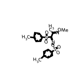 CON=C(C)C(=NOS(=O)(=O)c1ccc(C)cc1)S(=O)(=O)c1ccc(C)cc1